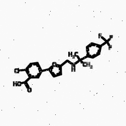 CC(C)(NCc1ccc(-c2ccc(Cl)c(C(=O)O)c2)o1)c1ccc(C(F)(F)F)cc1